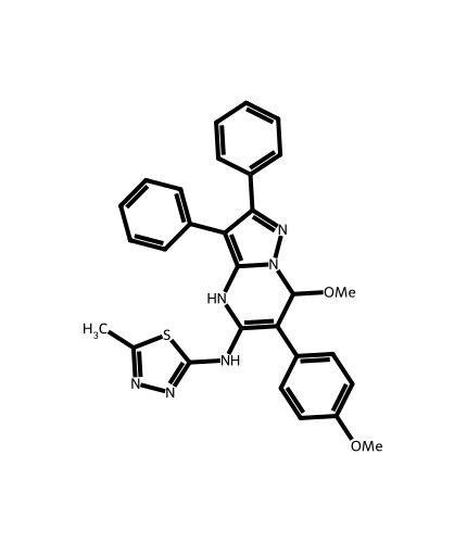 COc1ccc(C2=C(Nc3nnc(C)s3)Nc3c(-c4ccccc4)c(-c4ccccc4)nn3C2OC)cc1